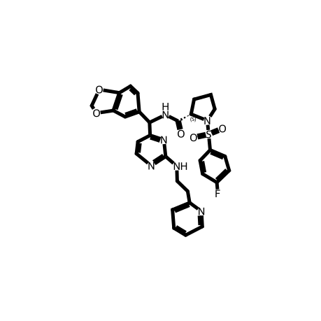 O=C(NC(c1ccc2c(c1)OCO2)c1ccnc(NCCc2ccccn2)n1)[C@@H]1CCCN1S(=O)(=O)c1ccc(F)cc1